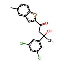 Cc1ccc2sc(C(=O)CC(O)(c3cc(Cl)cc(Cl)c3)C(F)(F)F)cc2c1